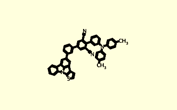 Cc1ccc(N(c2ccc(C)cc2)c2cccc(-c3c(C#N)cc(-c4cccc(-c5cc6c7ccccc7n7c8sccc8c(c5)c67)c4)cc3C#N)c2)cc1